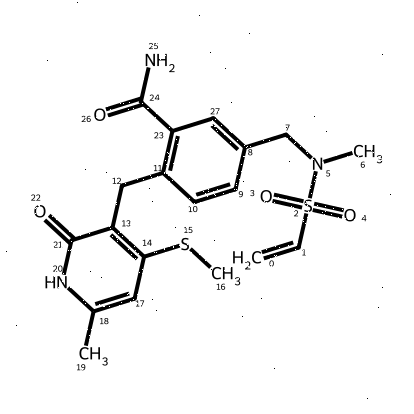 C=CS(=O)(=O)N(C)Cc1ccc(Cc2c(SC)cc(C)[nH]c2=O)c(C(N)=O)c1